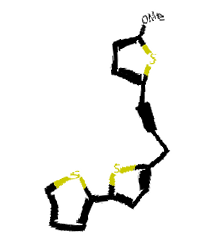 COc1ccc(C#CCc2ccc(-c3cccs3)s2)s1